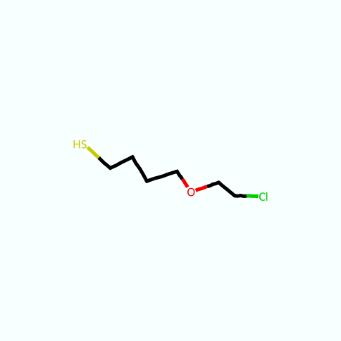 SCCCCOCCCl